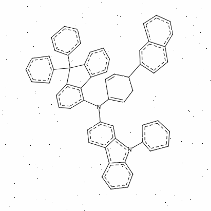 C1=CC(c2ccc3ccccc3c2)CC=C1N(c1ccc2c3ccccc3n(-c3ccccc3)c2c1)c1cccc2c1-c1ccccc1C2(c1ccccc1)c1ccccc1